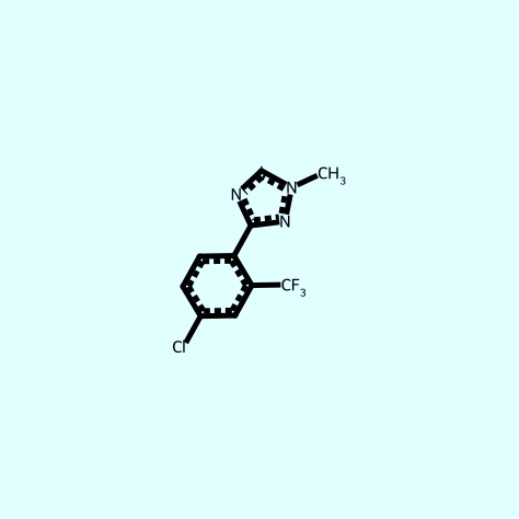 Cn1[c]nc(-c2ccc(Cl)cc2C(F)(F)F)n1